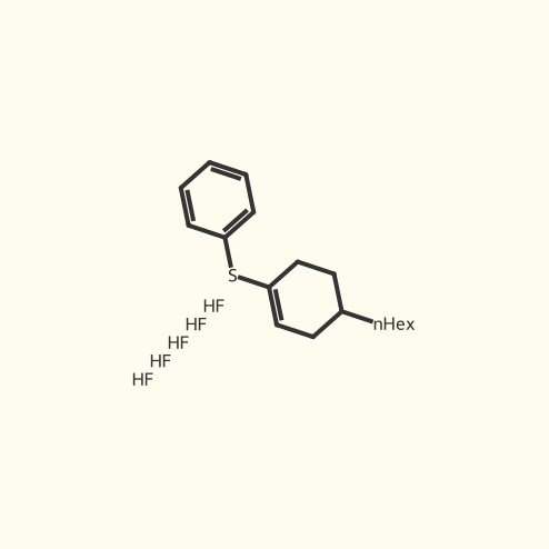 CCCCCCC1CC=C(Sc2ccccc2)CC1.F.F.F.F.F